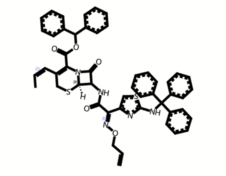 C=CCO/N=C(/C(=O)NC1C(=O)N2C(C(=O)OC(c3ccccc3)c3ccccc3)=C(/C=C\C)CS[C@H]12)c1csc(NC(c2ccccc2)(c2ccccc2)c2ccccc2)n1